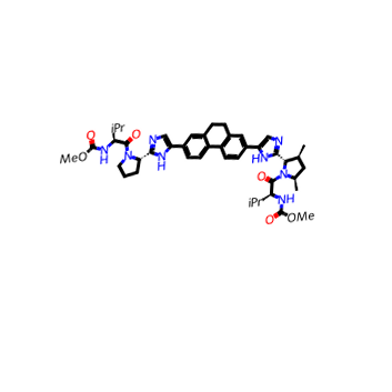 COC(=O)N[C@H](C(=O)N1CCC[C@H]1c1ncc(-c2ccc3c(c2)CCc2cc(-c4cnc([C@@H]5[C@@H](C)C[C@@H](C)N5C(=O)[C@@H](NC(=O)OC)C(C)C)[nH]4)ccc2-3)[nH]1)C(C)C